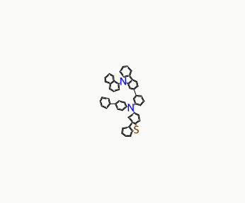 c1ccc(-c2ccc(N(c3cccc(-c4ccc5c6ccccc6n(-c6cccc7ccccc67)c5c4)c3)c3ccc4sc5ccccc5c4c3)cc2)cc1